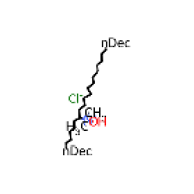 CCCCCCCCCCCCCCCCCCCCCCC(CCCCCCCCCCCCCCC)[N+](C)(C)O.[Cl-]